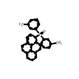 Cc1cccc(P(=O)(c2cccc(C(F)(F)F)c2)c2ccc3ccc4cccc5ccc2c3c45)c1